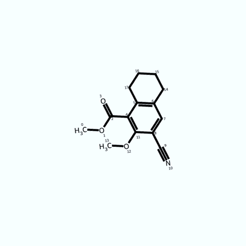 COC(=O)c1c2c(cc(C#N)c1OC)CCCC2